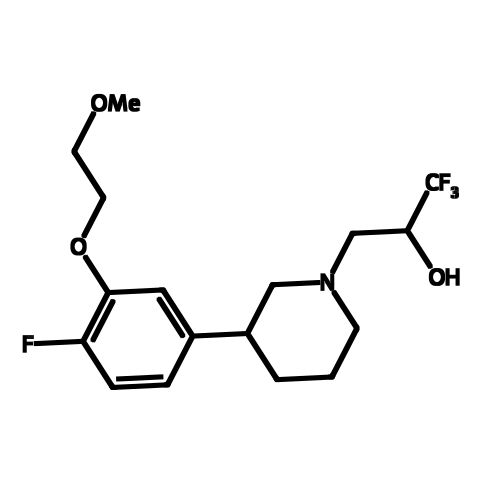 COCCOc1cc(C2CCCN(CC(O)C(F)(F)F)C2)ccc1F